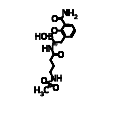 CS(=O)(=O)NCCCC(=O)N[C@H]1Cc2cccc(C(N)=O)c2OB1O